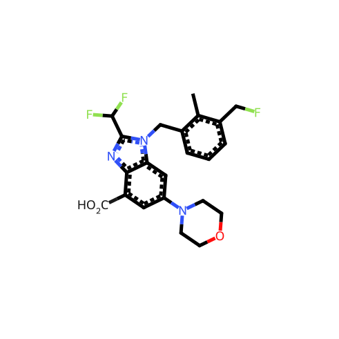 Cc1c(CF)cccc1Cn1c(C(F)F)nc2c(C(=O)O)cc(N3CCOCC3)cc21